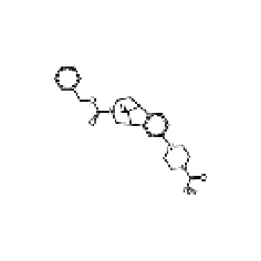 C[C@H]1C2CCN(C(=O)OCc3ccccc3)CC1c1cc(N3CCN(C(=O)C(C)(C)C)CC3)ccc12